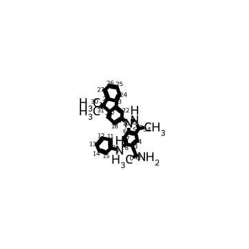 CC(N)c1cc2c(cc1Nc1ccccc1)N(c1ccc3c(c1)-c1ccccc1C3(C)C)NC2C